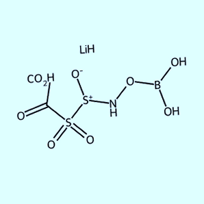 O=C(O)C(=O)S(=O)(=O)[S+]([O-])NOB(O)O.[LiH]